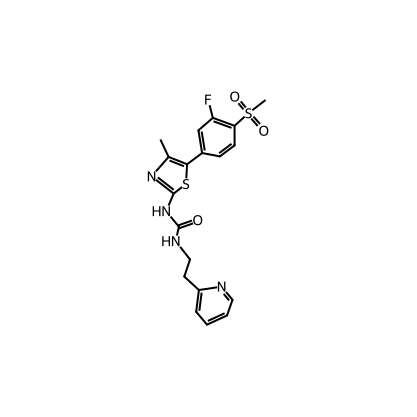 Cc1nc(NC(=O)NCCc2ccccn2)sc1-c1ccc(S(C)(=O)=O)c(F)c1